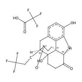 O=C(O)C(F)(F)F.O=C1CCC2(O)[C@H]3Cc4ccc(O)c5c4[C@@]2(CC[N+]3([O-])CCC(F)(F)F)[C@H]1O5